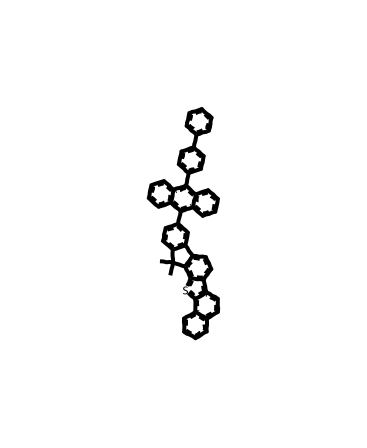 CC1(C)c2ccc(-c3c4ccccc4c(-c4ccc(-c5ccccc5)cc4)c4ccccc34)cc2-c2ccc3c(sc4c5ccccc5ccc34)c21